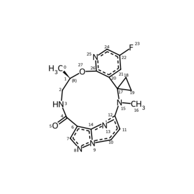 C[C@@H]1CNC(=O)c2cnn3ccc(nc23)N(C)C2(CC2)c2cc(F)cnc2O1